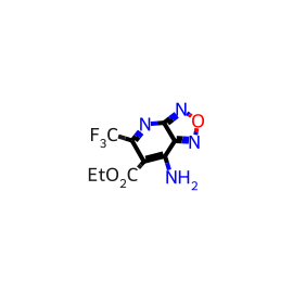 CCOC(=O)c1c(C(F)(F)F)nc2nonc2c1N